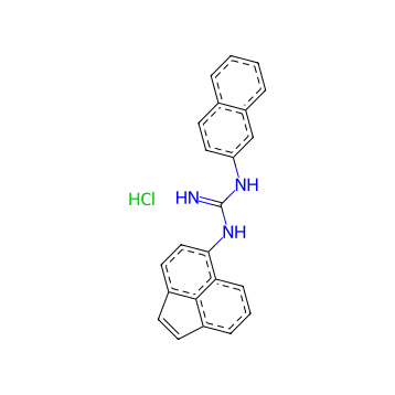 Cl.N=C(Nc1ccc2ccccc2c1)Nc1ccc2c3c(cccc13)C=C2